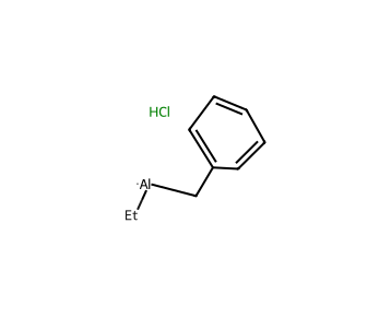 C[CH2][Al][CH2]c1ccccc1.Cl